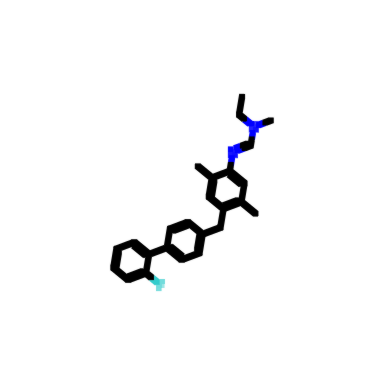 CCN(C)C=Nc1cc(C)c(Cc2ccc(-c3ccccc3F)cc2)cc1C